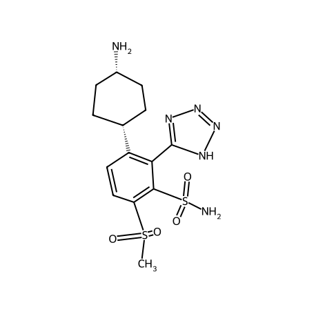 CS(=O)(=O)c1ccc([C@H]2CC[C@@H](N)CC2)c(-c2nnn[nH]2)c1S(N)(=O)=O